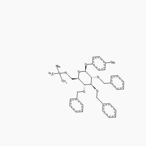 CC(C)(C)[Si](C)(C)OC[C@H]1O[C@@H](Oc2ccc(O)cc2)[C@H](OCc2ccccc2)[C@@H](OCc2ccccc2)[C@@H]1OCc1ccccc1